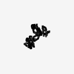 O=c1c(Cl)c(N2CCc3c(c(CO)nn3Cc3ccccc3C(F)(F)F)C2)cnn1C1CCCCO1